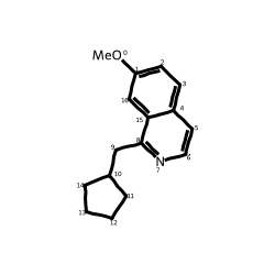 COc1ccc2c[c]nc(CC3CCCC3)c2c1